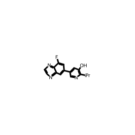 CC(C)c1ncc(-c2cc(F)c3nccnc3c2)cc1O